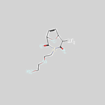 CC1C(=O)N(CCOCCO)C(=O)C2C=CC1O2